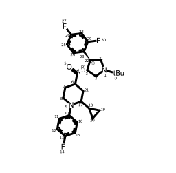 CC(C)(C)N1C[C@H](C(=O)C2CCN(c3ccc(F)cc3)C(C3CC3)C2)[C@@H](c2ccc(F)cc2F)C1